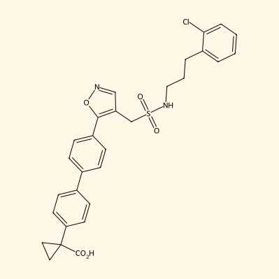 O=C(O)C1(c2ccc(-c3ccc(-c4oncc4CS(=O)(=O)NCCCc4ccccc4Cl)cc3)cc2)CC1